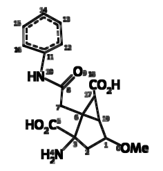 COC1CC(N)(C(=O)O)C2(CC(=O)Nc3ccccc3)C(C(=O)O)C12